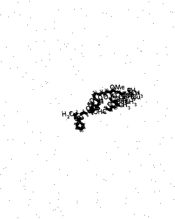 C=C(Br)C[C@H](CC[C@@]12CC3OC4C(O1)[C@H]1OC(CC(=O)CC5[C@@H](OC)C(CC(CO[Si](C)(C)C(C)(C)C)O[Si](C)(C)C(C)(C)C)O[C@H]5CC5OC(CCC=O)CC(C)C5=C)CCC1O[C@H]4C3O2)OC(=O)c1ccccc1